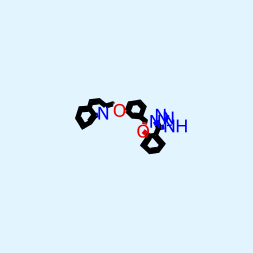 c1cc(COc2ccccc2-c2nnn[nH]2)cc(OCc2ccc3ccccc3n2)c1